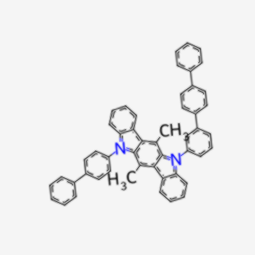 Cc1c2c3ccccc3n(-c3cccc(-c4ccc(-c5ccccc5)cc4)c3)c2c(C)c2c3ccccc3n(-c3ccc(-c4ccccc4)cc3)c12